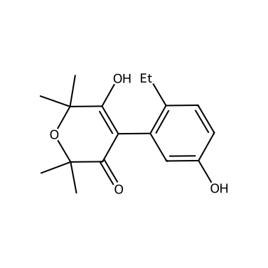 CCc1ccc(O)cc1C1=C(O)C(C)(C)OC(C)(C)C1=O